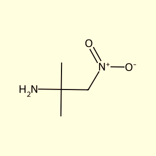 CC(C)(N)C[N+](=O)[O-]